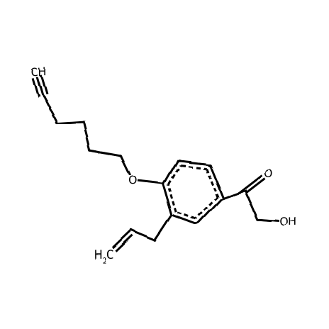 C#CCCCCOc1ccc(C(=O)CO)cc1CC=C